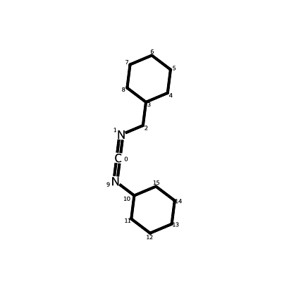 C(=NCC1CCCCC1)=NC1CCCCC1